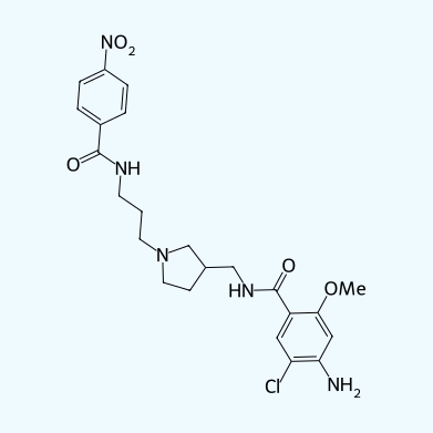 COc1cc(N)c(Cl)cc1C(=O)NCC1CCN(CCCNC(=O)c2ccc([N+](=O)[O-])cc2)C1